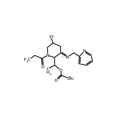 CCC1C/C(=N\Cc2ccccn2)C(C(C)OC(=O)C(C)(C)C)N(C(=O)CC(F)(F)F)C1